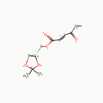 COC(=O)/C=C/C(=O)OC[C@H]1COC(C)(C)O1